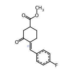 COC(=O)C1CC/C(=C\c2ccc(F)cc2)C(=O)C1